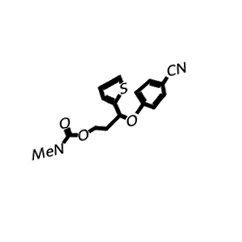 CNC(=O)OCCC(Oc1ccc(C#N)cc1)c1cccs1